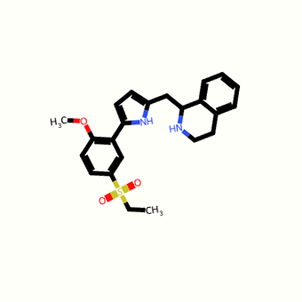 CCS(=O)(=O)c1ccc(OC)c(-c2ccc(CC3NCCc4ccccc43)[nH]2)c1